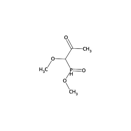 COC(C(C)=O)[PH](=O)OC